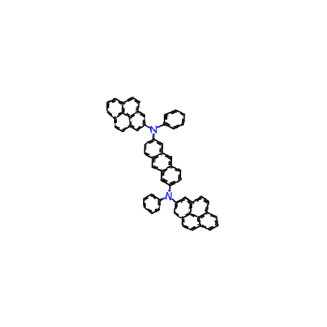 c1ccc(N(c2ccc3cc4cc(N(c5ccccc5)c5cc6ccc7cccc8ccc(c5)c6c78)ccc4cc3c2)c2cc3ccc4cccc5ccc(c2)c3c45)cc1